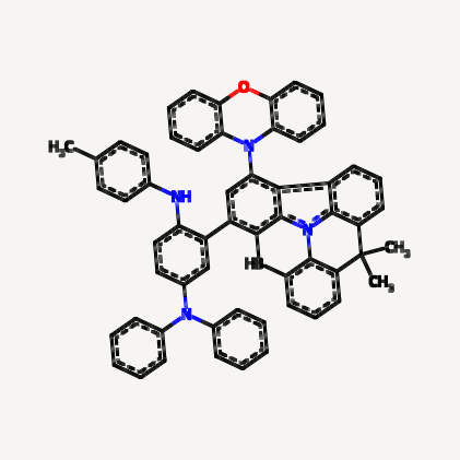 Cc1ccc(Nc2ccc(N(c3ccccc3)c3ccccc3)cc2-c2cc(N3c4ccccc4Oc4ccccc43)c3c4cccc5c4n4c3c2Bc2cccc(c2-4)C5(C)C)cc1